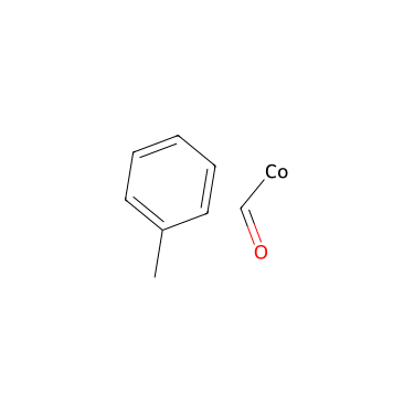 Cc1ccccc1.O=[CH][Co]